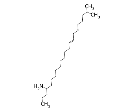 CCCC(N)CCCCCCCCCC=CCC=CCCC(C)C